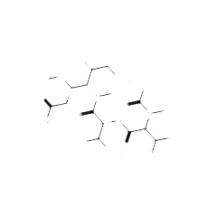 CC[C@H](C)[C@@H]([C@@H](CC(N)=O)OC)N(C)C(=O)[C@@H](NC(=O)C(C(C)C)N(C)C(=O)O)C(C)C